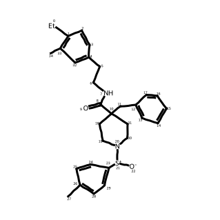 CCc1ccc(CCNC(=O)C2(Cc3ccccc3)CCN([S+]([O-])c3ccc(C)cc3)CC2)cc1C